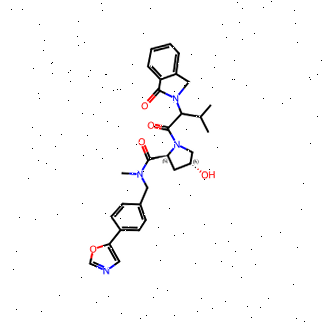 CC(C)C(C(=O)N1C[C@H](O)C[C@H]1C(=O)N(C)Cc1ccc(-c2cnco2)cc1)N1Cc2ccccc2C1=O